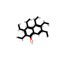 CCc1cc2c([O])c(CC)c(CC)c(CC)c2c(CC)c1CC